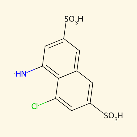 [NH]c1cc(S(=O)(=O)O)cc2cc(S(=O)(=O)O)cc(Cl)c12